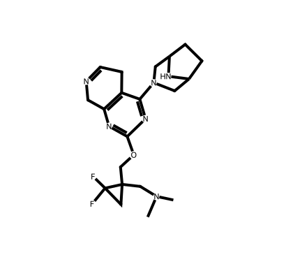 CN(C)CC1(COc2nc3c(c(N4CC5CCC(C4)N5)n2)CC=NC3)CC1(F)F